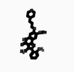 COc1cc2c(cc1OCCCN1CCOCC1)[nH]c(=O)c1c(N)n(-c3ccccc3C)nc12